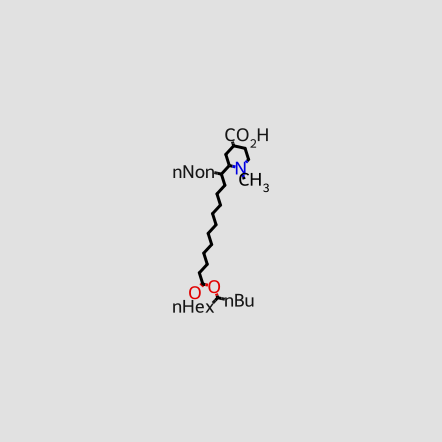 CCCCCCCCCC(CCCCCCCCCCC(=O)OC(CCCC)CCCCCC)C1CC(C(=O)O)CCN1C